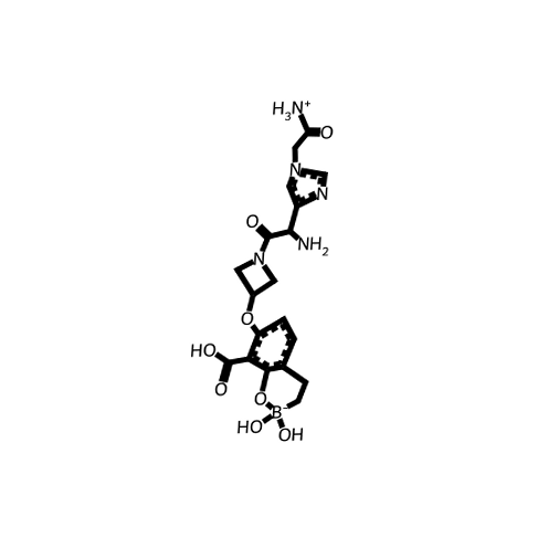 NC(C(=O)N1CC(Oc2ccc3c(c2C(=O)O)O[B-](O)(O)CC3)C1)c1cn(CC([NH3+])=O)cn1